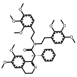 COc1cc2c(cc1OC)C([C@H](C(=O)N(CCc1ccc(OC)c(OC)c1OC)CCc1ccc(OC)c(OC)c1OC)c1ccccc1)=NCC2